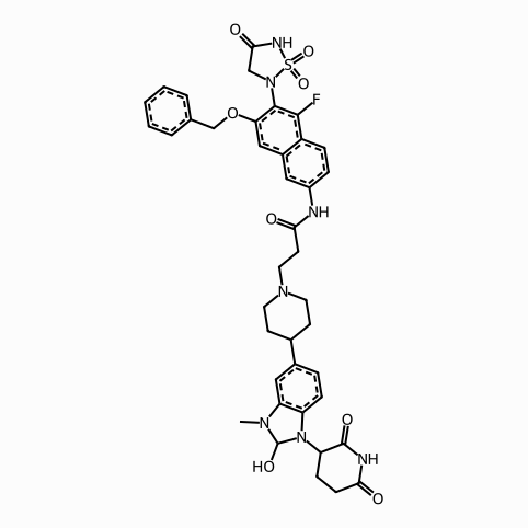 CN1c2cc(C3CCN(CCC(=O)Nc4ccc5c(F)c(N6CC(=O)NS6(=O)=O)c(OCc6ccccc6)cc5c4)CC3)ccc2N(C2CCC(=O)NC2=O)C1O